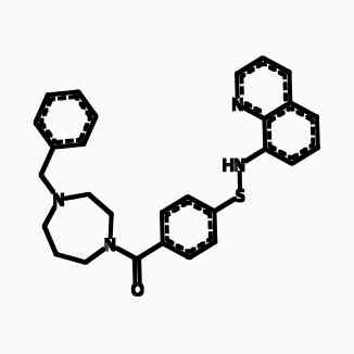 O=C(c1ccc(SNc2cccc3cccnc23)cc1)N1CCCN(Cc2ccccc2)CC1